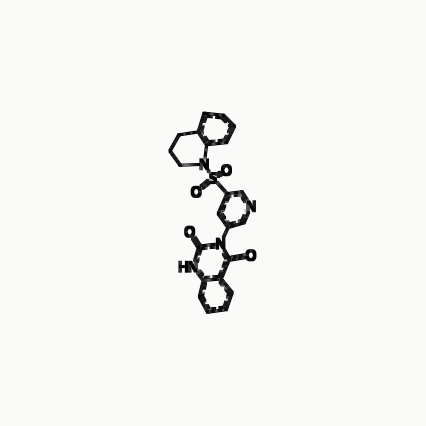 O=c1[nH]c2ccccc2c(=O)n1-c1cncc(S(=O)(=O)N2CCCc3ccccc32)c1